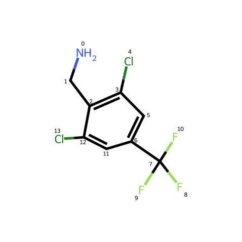 NCc1c(Cl)cc(C(F)(F)F)cc1Cl